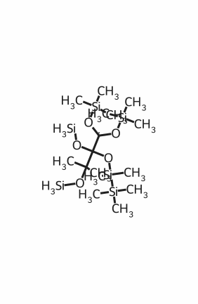 CC(C)(O[SiH3])C(O[SiH3])(O[Si](C)(C)[Si](C)(C)C)[C](O[Si](C)(C)C)O[Si](C)(C)C